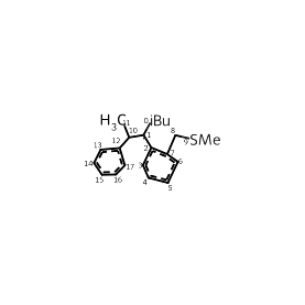 CCC(C)[C](c1ccccc1CSC)C(C)c1ccccc1